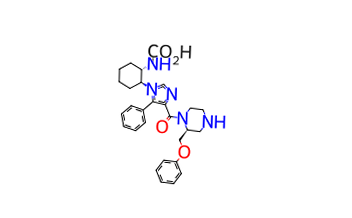 O=C(O)N[C@H]1CCCC[C@@H]1n1cnc(C(=O)N2CCNC[C@H]2COc2ccccc2)c1-c1ccccc1